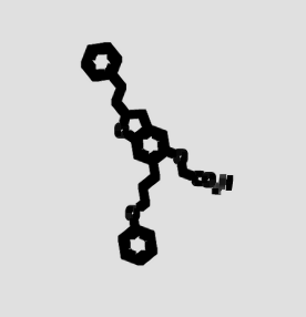 O=C(O)COc1cc2c(cc1CCCOc1ccccc1)OC(CCc1ccccc1)C2